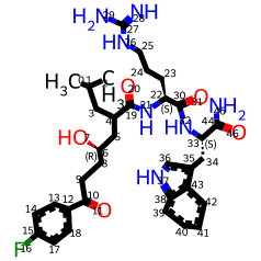 CC(C)CC(C[C@H](O)CCC(=O)c1ccc(F)cc1)C(=O)N[C@@H](CCCNC(=N)N)C(=O)N[C@@H](Cc1c[nH]c2ccccc12)C(N)=O